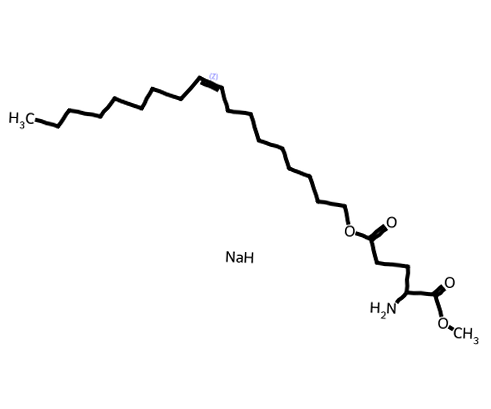 CCCCCCCC/C=C\CCCCCCCCOC(=O)CCC(N)C(=O)OC.[NaH]